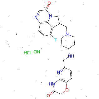 Cl.Cl.O=C1COc2ccc(CNC3CCN(CC4Cn5c(=O)cnc6ccc(F)c4c65)CC3)nc2N1